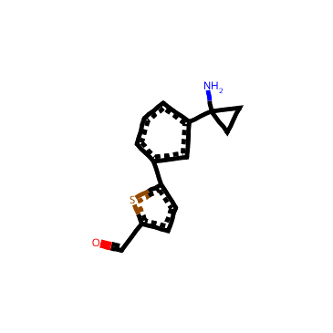 NC1(c2cccc(-c3ccc(C=O)s3)c2)CC1